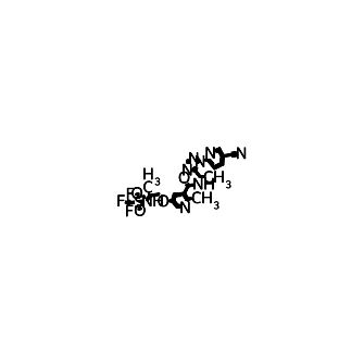 Cc1ncc(OC[C@H](C)NS(=O)(=O)C(F)(F)F)cc1C(=O)NC(C)c1ncnn1-c1ccc(C#N)cn1